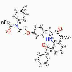 CCCC(=O)N(CCOc1ccc(CC(Nc2ccccc2C(=O)c2ccccc2)C(=O)OC)cc1)c1ccc(C)cc1